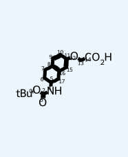 CC(C)(C)OC(=O)NC1CCc2ccc(OCC(=O)O)cc2C1